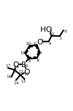 CCC(O)COc1ccc(B2OC(C)(C)C(C)(C)O2)cc1